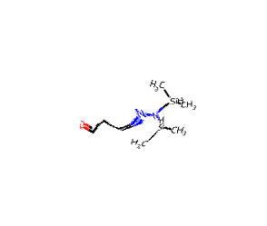 C[SiH](C)N(N=CCC=O)[SiH](C)C